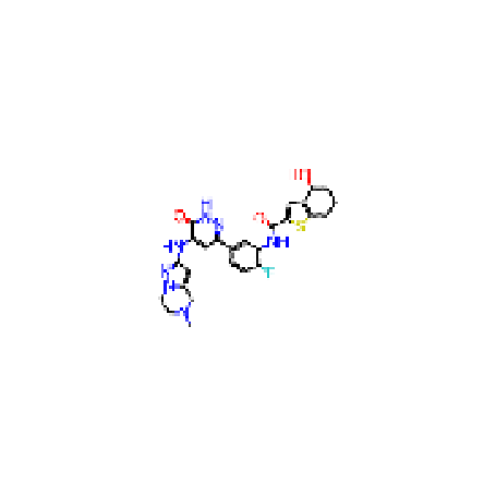 CN1CCn2nc(Nc3cc(-c4ccc(F)c(NC(=O)c5cc6c(s5)CCCC6O)c4)n[nH]c3=O)cc2C1